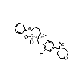 CC(=O)C1(c2ccc(CN3[C@@H](C)CC[C@H](c4ccccc4)S3(=O)=O)c(F)c2)CCOCC1